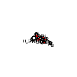 CCC1=C[C@@H]2CN(CCc3c([nH]c4ccccc34)[C@@](C(=O)OC)(c3cc4c(cc3OC)N(C)[C@H]3C(O)(CNC(=O)OCc5ccc(Cl)cc5)[C@H](OC(C)=O)[C@]5(CC)C=CCN6CC[C@]43[C@@H]65)C2)C1